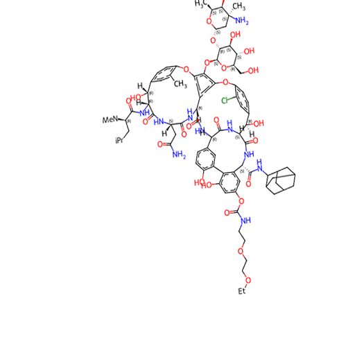 CCOCCOCCNC(=O)Oc1cc(O)c2c(c1)[C@@H](C(=O)NC1C3CC4CC(C3)CC1C4)NC(=O)[C@H]1NC(=O)[C@H](NC(=O)[C@@H]3NC(=O)[C@H](CC(N)=O)NC(=O)[C@H](NC(=O)[C@@H](CC(C)C)NC)[C@H](O)c4ccc(c(C)c4)Oc4cc3cc(c4O[C@@H]3O[C@H](CO)[C@@H](O)[C@H](O)[C@H]3O[C@H]3C[C@](C)(N)[C@H](O)[C@H](C)O3)Oc3ccc(cc3Cl)[C@H]1O)c1ccc(O)c-2c1